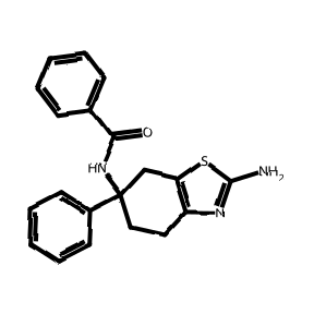 Nc1nc2c(s1)CC(NC(=O)c1ccccc1)(c1ccccc1)CC2